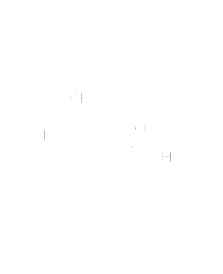 Cc1cc(S(C)(=O)=O)ccc1F